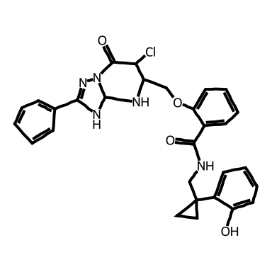 O=C(NCC1(c2ccccc2O)CC1)c1ccccc1OCC1NC2NC(c3ccccc3)=NN2C(=O)C1Cl